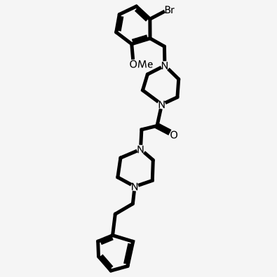 COc1cccc(Br)c1CN1CCN(C(=O)CN2CCN(CCc3ccccc3)CC2)CC1